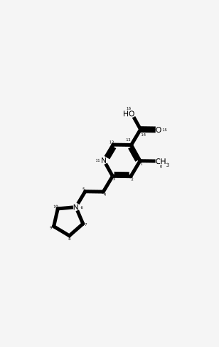 Cc1cc(CCN2CCCC2)ncc1C(=O)O